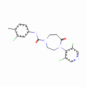 Cc1ccc(NC(=O)N2CCC(=O)N(c3c(Cl)cncc3Cl)CC2)cc1Cl